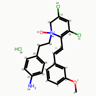 COc1cccc(/C=C/C2=C(Cl)C=C(Cl)C[N+]2([O-])CCc2ccc(N)cc2)c1.Cl